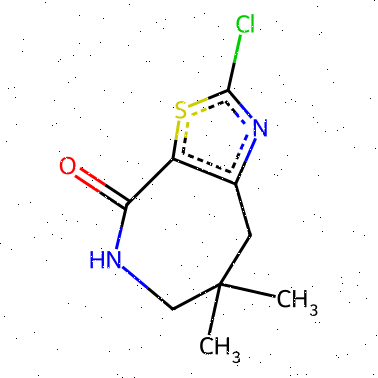 CC1(C)CNC(=O)c2sc(Cl)nc2C1